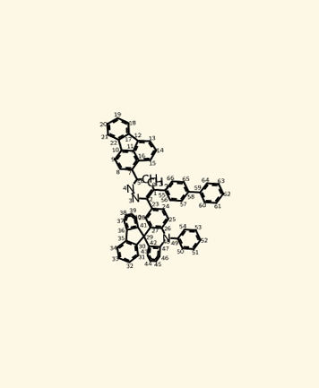 C/C(=C(\N=N/C(C)c1ccc2c3c(cccc13)-c1ccccc1-2)c1ccc2c(c1)C1(c3ccccc3-c3ccccc31)c1ccccc1N2c1ccccc1)c1ccc(-c2ccccc2)cc1